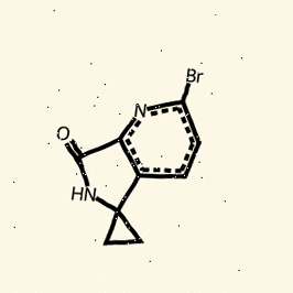 O=C1NC2(CC2)c2ccc(Br)nc21